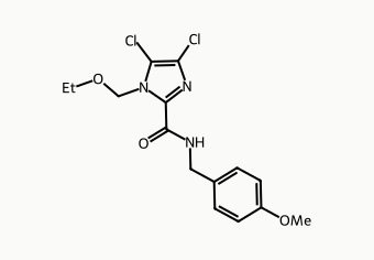 CCOCn1c(C(=O)NCc2ccc(OC)cc2)nc(Cl)c1Cl